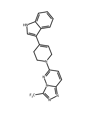 FC(F)(F)c1nnc2ccc(N3CC=C(c4c[nH]c5ccccc45)CC3)nn12